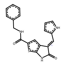 O=C1Nc2sc(C(=O)NCc3ccccc3)cc2/C1=C\c1ccc[nH]1